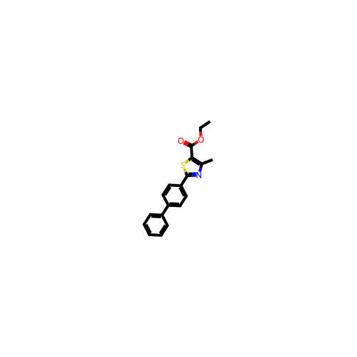 CCOC(=O)c1sc(-c2ccc(-c3ccccc3)cc2)nc1C